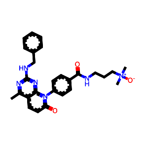 Cc1nc(NCc2ccccc2)nc2c1ccc(=O)n2-c1ccc(C(=O)NCCC[N+](C)(C)[O-])cc1